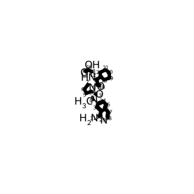 CN(C(=O)[C@@H]1CCCN1C(=O)C(NCC(=O)O)C1CCCCC1)c1ccc2ccnc(N)c2c1